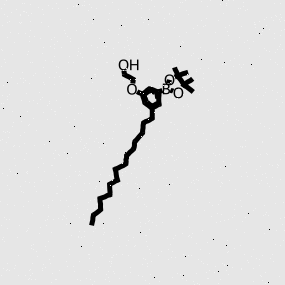 CCCCCCCCCCCCCCCc1cc(OCCO)cc(B2OC(C)(C)C(C)(C)O2)c1